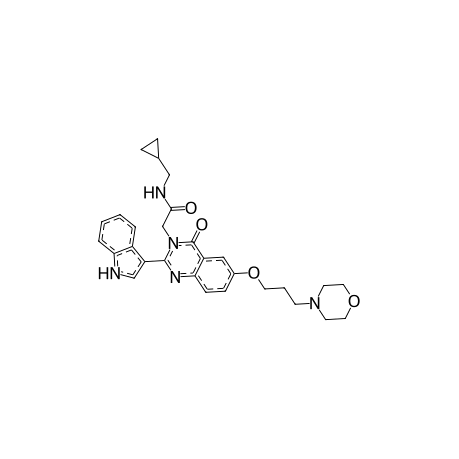 O=C(Cn1c(-c2c[nH]c3ccccc23)nc2ccc(OCCCN3CCOCC3)cc2c1=O)NCC1CC1